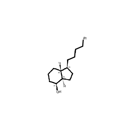 CC(C)CCCC[C@H]1CC[C@@H]2[C@@H]1CCC[C@@H]2O